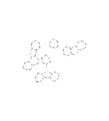 c1cc(-c2ccc3oc4ccccc4c3c2)cc(N(c2ccc(-n3c4ccccc4c4ccccc43)cc2)c2cccc3oc4c5ccccc5ccc4c23)c1